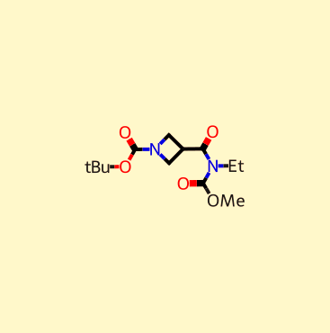 CCN(C(=O)OC)C(=O)C1CN(C(=O)OC(C)(C)C)C1